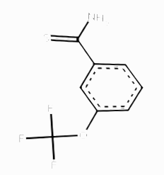 NC(=S)c1cccc(OC(F)(F)F)c1